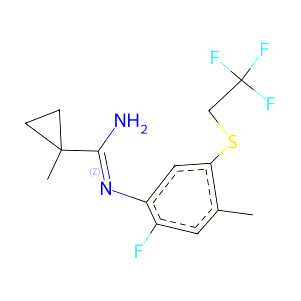 Cc1cc(F)c(/N=C(\N)C2(C)CC2)cc1SCC(F)(F)F